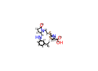 CC(C)c1cccc(NC[C@H]2CCC(=O)N2CCSc2nc(C(=O)O)cs2)c1